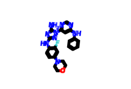 Nc1nc(Nc2ccc(N3CCOCC3)cc2F)nn1-c1cc(Nc2ccccc2)ncn1